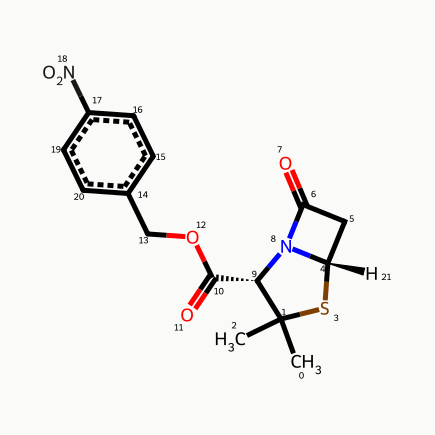 CC1(C)S[C@H]2CC(=O)N2[C@H]1C(=O)OCc1ccc([N+](=O)[O-])cc1